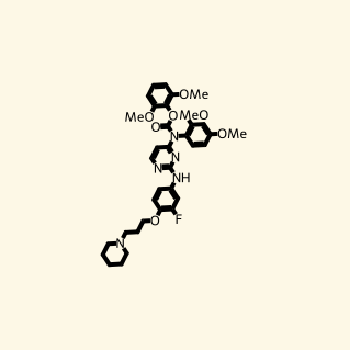 COc1ccc(N(C(=O)Oc2c(OC)cccc2OC)c2ccnc(Nc3ccc(OCCCN4CCCCC4)c(F)c3)n2)c(OC)c1